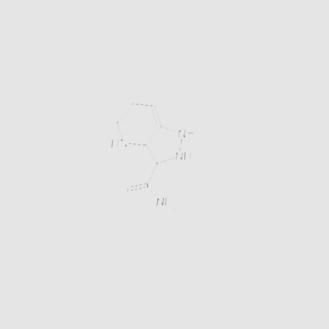 NC(=O)C1NNC2=CC=CNC21